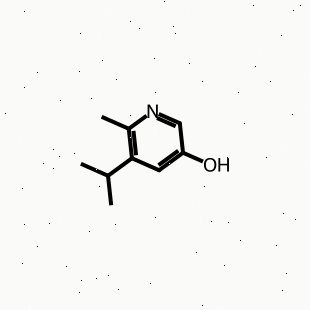 Cc1ncc(O)cc1C(C)C